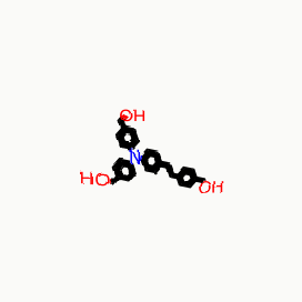 OCc1ccc(C=Cc2ccc(N(c3ccc(CO)cc3)c3ccc(CO)cc3)cc2)cc1